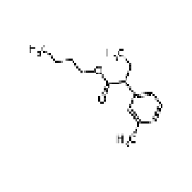 CCCCOC(=O)C(CC)c1cccc(C)c1